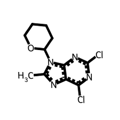 Cc1nc2c(Cl)nc(Cl)nc2n1C1CCCCO1